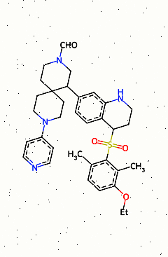 CCOc1ccc(C)c(S(=O)(=O)C2CCNc3cc(C4CN(C=O)CCC45CCN(c4ccncc4)CC5)ccc32)c1C